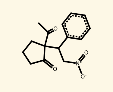 CC(=O)C1(C(C[N+](=O)[O-])c2ccccc2)CCCC1=O